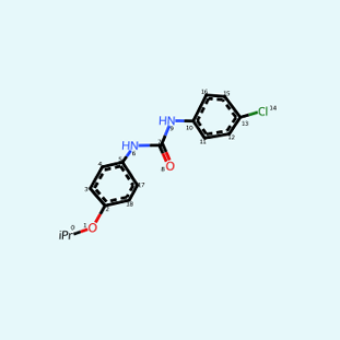 CC(C)Oc1ccc(NC(=O)Nc2ccc(Cl)cc2)cc1